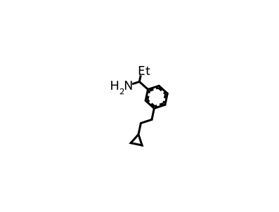 CCC(N)c1cccc(CCC2CC2)c1